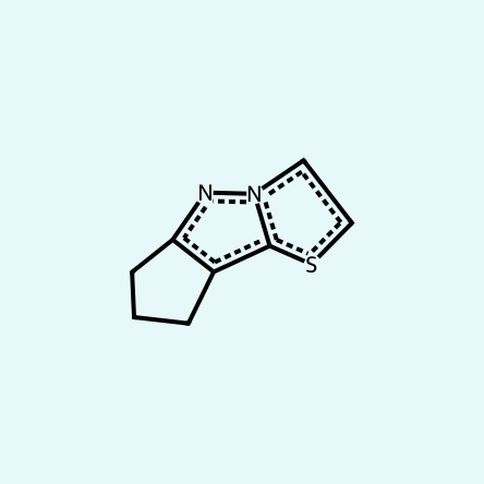 c1cn2nc3c(c2s1)CCC3